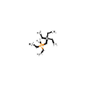 CC[Si](CC)(CC)C[PH](C)(CC)CC